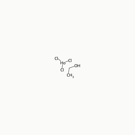 CCO.[Cl][Ho]([Cl])[Cl]